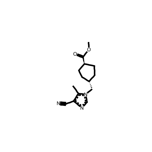 COC(=O)[C@H]1CC[C@H](Cn2cnc(C#N)c2C)CC1